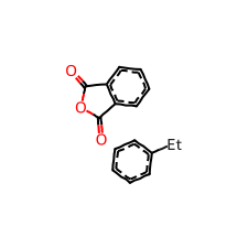 CCc1ccccc1.O=C1OC(=O)c2ccccc21